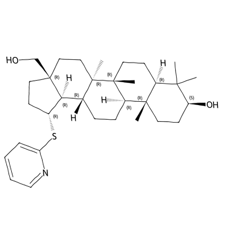 CC1(C)[C@@H](O)CC[C@]2(C)[C@H]3CC[C@@H]4[C@H]5[C@H](Sc6ccccn6)CC[C@]5(CO)CC[C@@]4(C)[C@]3(C)CC[C@@H]12